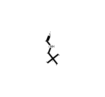 CC(C)(C)CN[C]=S